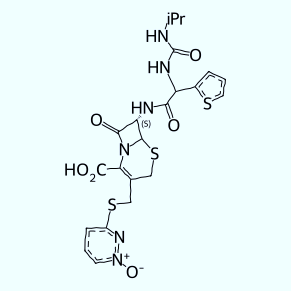 CC(C)NC(=O)NC(C(=O)N[C@H]1C(=O)N2C(C(=O)O)=C(CSc3ccc[n+]([O-])n3)CSC12)c1cccs1